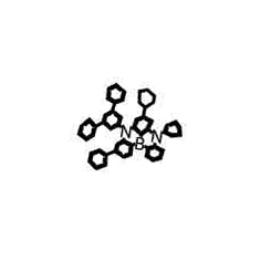 c1ccc(-c2cc(-c3ccccc3)cc(N3c4cc(-c5ccccc5)ccc4B4c5ccccc5N(c5ccccc5)c5cc(C6CCCCC6)cc3c54)c2)cc1